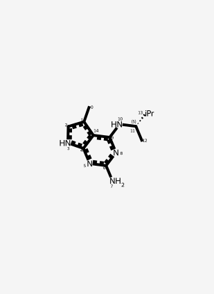 Cc1c[nH]c2nc(N)nc(N[C@@H](C)C(C)C)c12